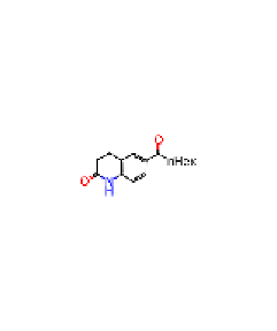 CCCCCCC(=O)c1ccc2c(c1)CCC(=O)N2